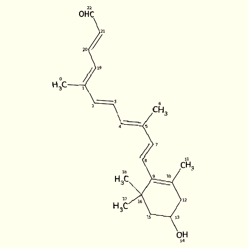 CC(C=CC=C(C)C=CC1=C(C)CC(O)CC1(C)C)=CC=CC=O